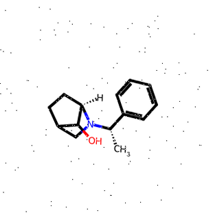 C[C@@H](c1ccccc1)N1CC2CC[C@@H]1C2O